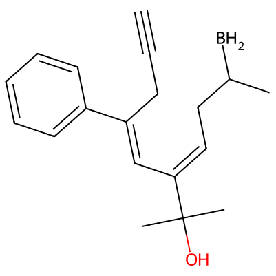 BC(C)C/C=C(\C=C(/CC#C)c1ccccc1)C(C)(C)O